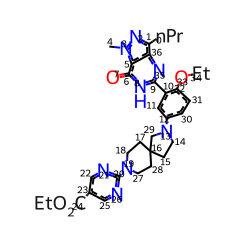 CCCc1nn(C)c2c(=O)[nH]c(-c3cc(N4CCC5(CCN(c6ncc(C(=O)OCC)cn6)CC5)C4)ccc3OCC)nc12